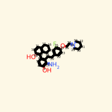 Nc1c(O)ccc(-c2c(O)ccc3c2CCCC3)c1CCc1ccc(OCCN2CCCCC2)c(F)c1